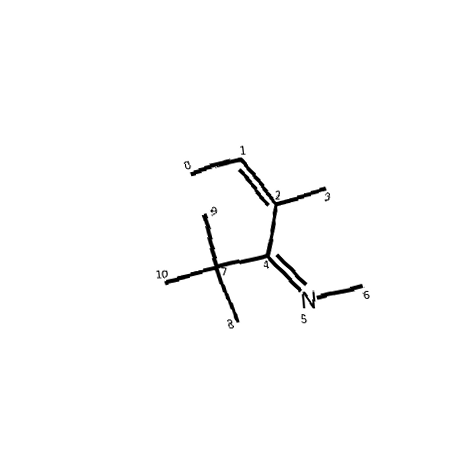 C/C=C(C)\C(=N/C)C(C)(C)C